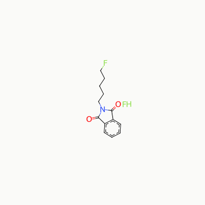 F.O=C1c2ccccc2C(=O)N1CCCCCF